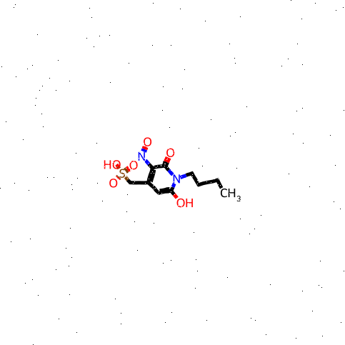 CCCCn1c(O)cc(CS(=O)(=O)O)c(N=O)c1=O